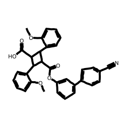 COc1ccccc1C1C(C(=O)O)C(c2ccccc2OC)C1C(=O)Oc1cccc(-c2ccc(C#N)cc2)c1